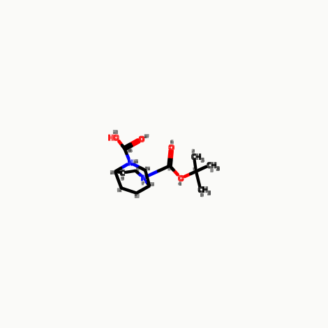 CC(C)(C)OC(=O)N1CCC2CCC1CN2C(=O)O